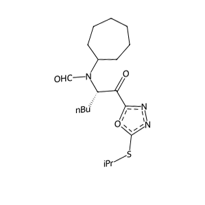 CCCC[C@@H](C(=O)c1nnc(SC(C)C)o1)N(C=O)C1CCCCCC1